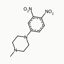 CN1CCN(c2ccc([N+](=O)[O-])c([N+](=O)[O-])c2)CC1